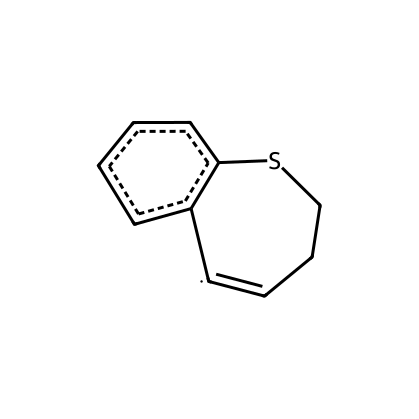 [C]1=CCCSc2ccccc21